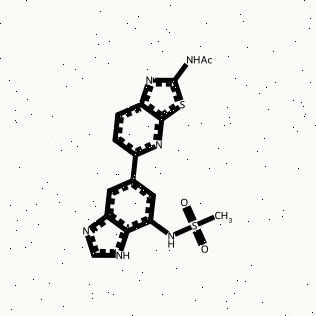 CC(=O)Nc1nc2ccc(-c3cc(NS(C)(=O)=O)c4[nH]cnc4c3)nc2s1